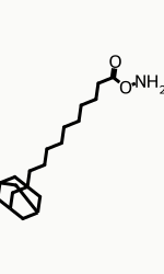 NOC(=O)CCCCCCCCCC12CC3CC(CC(C3)C1)C2